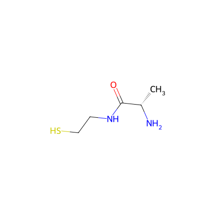 C[C@H](N)C(=O)NCCS